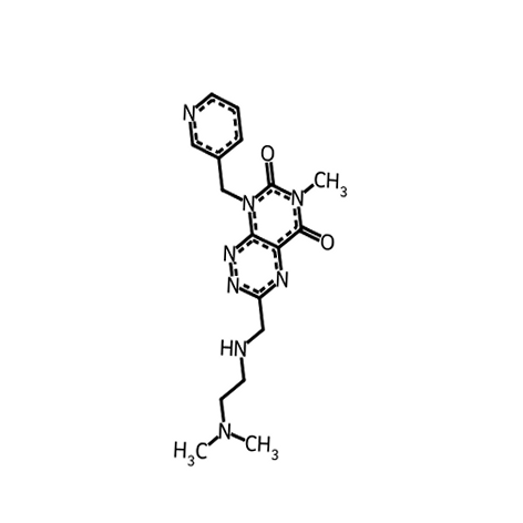 CN(C)CCNCc1nnc2c(n1)c(=O)n(C)c(=O)n2Cc1cccnc1